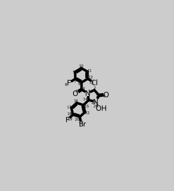 O=C1CN(C(=O)c2c(F)cccc2Cl)C(c2ccc(F)c(Br)c2)N1O